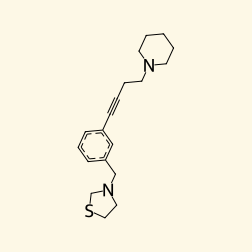 C(#Cc1cccc(CN2CCSC2)c1)CCN1CCCCC1